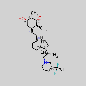 C=C1/C(=C\C=C2/CCC[C@]3(C)[C@@H]([C@H](C)CN4CCC[C@H](C(C)(F)F)C4)CC[C@@H]23)C[C@@H](O)[C@H](C)[C@@H]1O